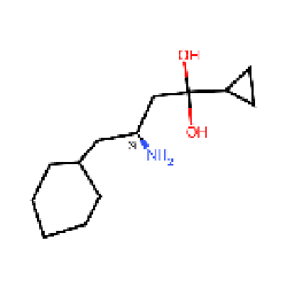 N[C@@H](CC1CCCCC1)CC(O)(O)C1CC1